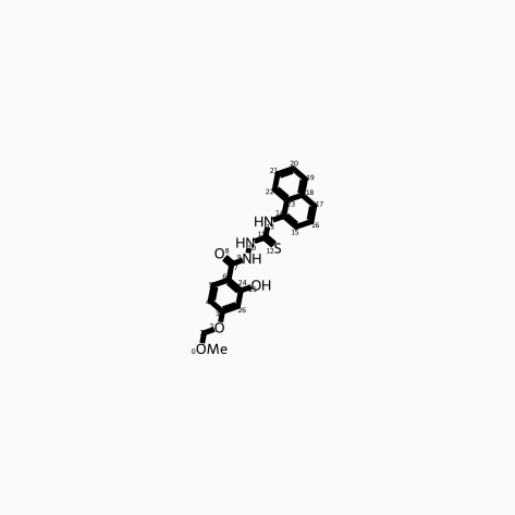 COCOc1ccc(C(=O)NNC(=S)Nc2cccc3ccccc23)c(O)c1